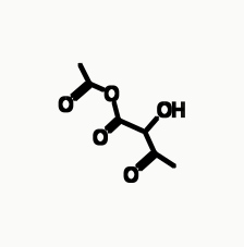 CC(=O)OC(=O)C(O)C(C)=O